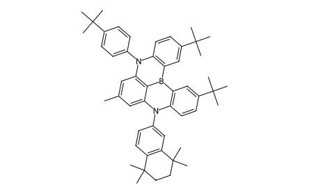 Cc1cc2c3c(c1)N(c1ccc4c(c1)C(C)(C)CCC4(C)C)c1ccc(C(C)(C)C)cc1B3c1cc(C(C)(C)C)ccc1N2c1ccc(C(C)(C)C)cc1